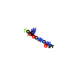 CC(C)n1ncn(-c2ccc(N3CCN(c4ccc(OC[C@@H]5CO[C@@](Cn6cncn6)(c6ccc(F)cc6F)O5)cc4)CC3)cc2)c1=O